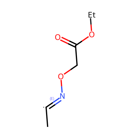 C/[C]=N/OCC(=O)OCC